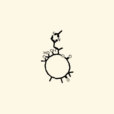 CC(=Cc1csc(C)n1)C1OC(=O)CCC(C)(C)C(=O)C(C)CC(C)CCCC2(C)OC2(O)C1O